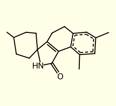 Cc1cc(C)c2c(c1)CCC1=C2C(=O)NC12CCC(C)CC2